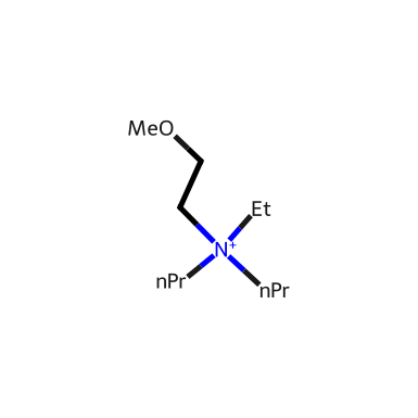 CCC[N+](CC)(CCC)CCOC